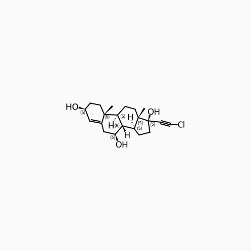 C[C@]12CC[C@H](O)C=C1C[C@H](O)[C@@H]1[C@@H]2CC[C@@]2(C)[C@H]1CC[C@@]2(O)C#CCl